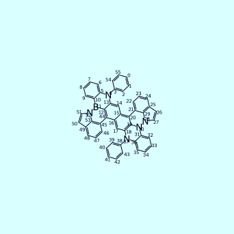 c1ccc(N2c3ccccc3B3c4c2cc2c(cc5c6c2c2cccc7ccn(c72)n-6c2ccccc2n5-c2ccccc2)c4-c2cccc4ccn3c24)cc1